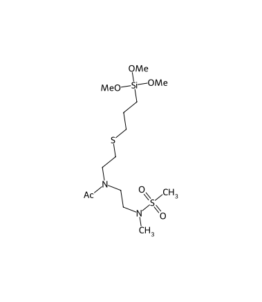 CO[Si](CCCSCCN(CCN(C)S(C)(=O)=O)C(C)=O)(OC)OC